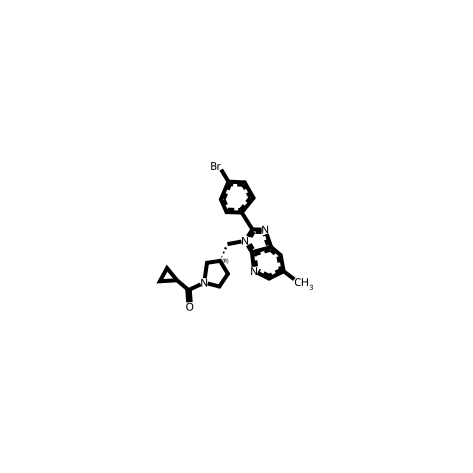 Cc1cnc2c(c1)nc(-c1ccc(Br)cc1)n2C[C@@H]1CCN(C(=O)C2CC2)C1